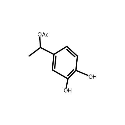 CC(=O)OC(C)c1ccc(O)c(O)c1